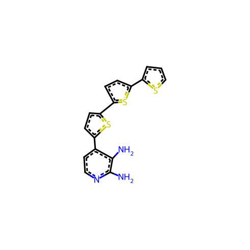 Nc1nccc(-c2ccc(-c3ccc(-c4cccs4)s3)s2)c1N